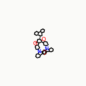 c1ccc2c(c1)cc(-c1cc3oc4ccc(-n5c6ccccc6c6ccccc65)cc4c3c3c1oc1ccc(-n4c5ccccc5c5ccccc54)cc13)c1ccccc12